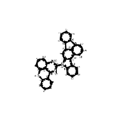 c1ccc2c(c1)Sc1cccc3nc(-n4c5ccccc5c5c6cccc7c6c(cc54)-c4ccccc4-7)nc-2c13